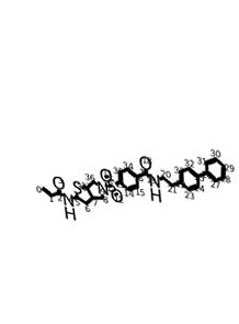 C=CC(=O)NC1CC2CN(S(=O)(=O)c3ccc(C(=O)NCCc4ccc(-c5ccccc5)cc4)cc3)CC2S1